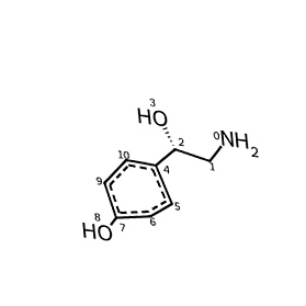 NC[C@@H](O)c1ccc(O)cc1